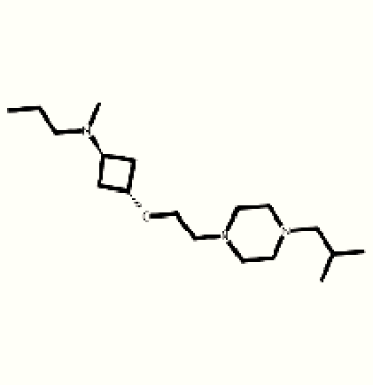 CCCN(C)[C@H]1C[C@H](OCCN2CCN(CC(C)C)CC2)C1